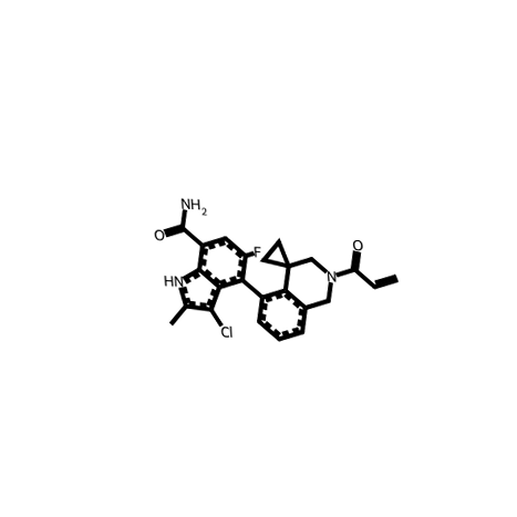 C=CC(=O)N1Cc2cccc(-c3c(F)cc(C(N)=O)c4[nH]c(C)c(Cl)c34)c2C2(CC2)C1